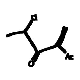 C=C(C(C)=O)C(=O)C(C)Cl